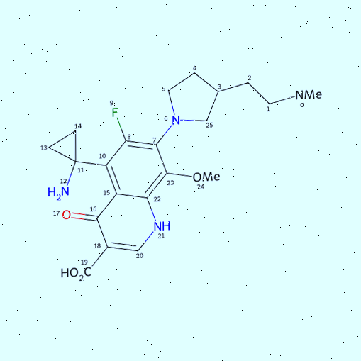 CNCCC1CCN(c2c(F)c(C3(N)CC3)c3c(=O)c(C(=O)O)c[nH]c3c2OC)C1